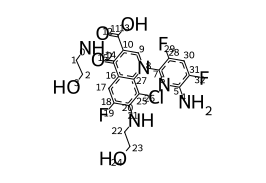 NCCO.Nc1nc(-n2cc(C(=O)O)c(=O)c3cc(F)c(NCCO)c(Cl)c32)c(F)cc1F